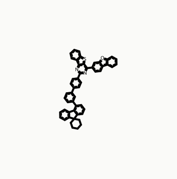 c1cc(-c2ccc(-c3nc(-c4ccc5c(c4)oc4ccccc45)c4sc5ccccc5c4n3)cc2)cc(-c2cccc3c2-c2ccccc2C32CCCCC2)c1